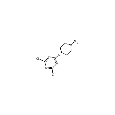 Clc1nc(Cl)nc(Cl)n1.NN1CCCCC1